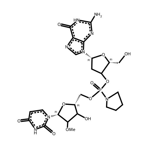 COC1C(O)[C@@H](COP(=O)(OC2C[C@H](n3cnc4c(=O)[nH]c(N)nc43)O[C@@H]2CO)N2CCCC2)O[C@H]1n1ccc(=O)[nH]c1=O